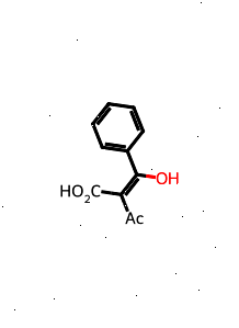 CC(=O)C(C(=O)O)=C(O)c1ccccc1